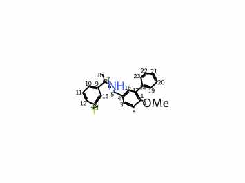 COc1ccc(CN[C@H](C)c2cccc(F)c2)cc1-c1ccccc1